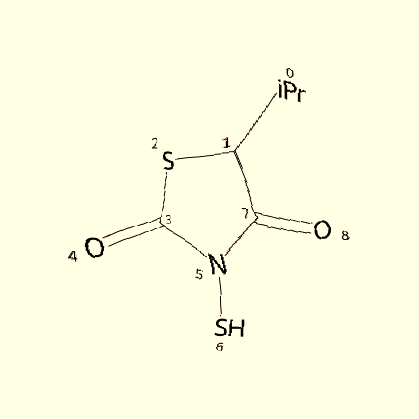 CC(C)C1SC(=O)N(S)C1=O